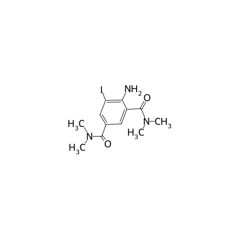 CN(C)C(=O)c1cc(I)c(N)c(C(=O)N(C)C)c1